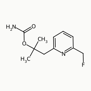 CC(C)(Cc1cccc(CF)n1)OC(N)=O